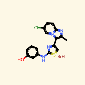 Br.Cc1nc2ccc(Cl)cn2c1-c1csc(Nc2cccc(O)c2)n1